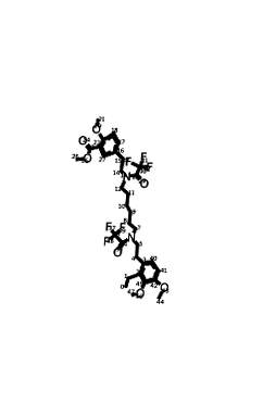 CCc1c(CCN(CCCCCCN(CCc2ccc(OC)c(C(=O)OC)c2)C(=O)C(F)(F)F)C(=O)C(F)(F)F)ccc(OC)c1OC